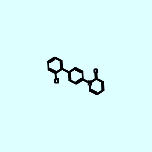 O=c1ccccn1-c1ccc(-c2ccccc2Cl)cc1